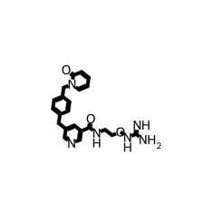 N=C(N)NOCCNC(=O)c1cncc(Cc2ccc(Cn3ccccc3=O)cc2)c1